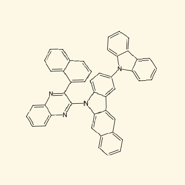 c1ccc2cc3c(cc2c1)c1cc(-n2c4ccccc4c4ccccc42)ccc1n3-c1nc2ccccc2nc1-c1cccc2ccccc12